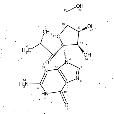 CC(C)C(=O)[C@@]1(n2cnc3c(=O)[nH]c(N)nc32)O[C@H](CO)[C@@H](O)[C@H]1O